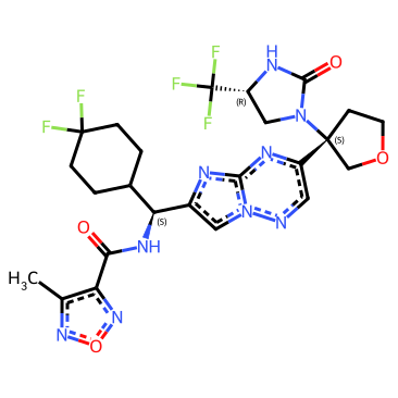 Cc1nonc1C(=O)N[C@H](c1cn2ncc([C@@]3(N4C[C@H](C(F)(F)F)NC4=O)CCOC3)nc2n1)C1CCC(F)(F)CC1